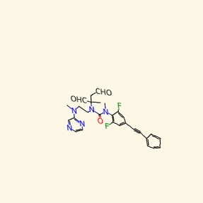 CN(CCN(C(=O)N(C)c1c(F)cc(C#Cc2ccccc2)cc1F)C(C)(C=O)CC=O)c1cnccn1